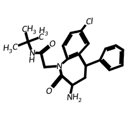 CC(C)(C)NC(=O)CN1C(=O)C(N)CC(c2ccccc2)c2cc(Cl)ccc21